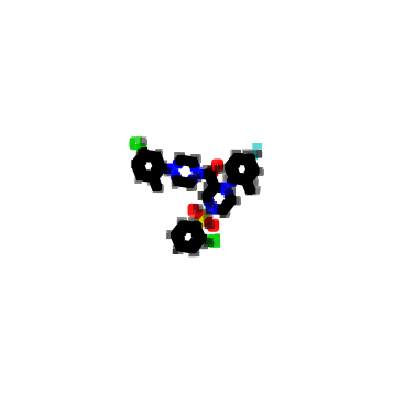 Cc1ccc(Cl)cc1N1CCN(C(=O)C2CN(S(=O)(=O)c3ccccc3Cl)CCN2c2ccc(F)cc2C)CC1